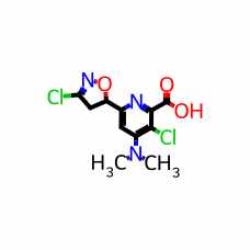 CN(C)c1cc(C2CC(Cl)=NO2)nc(C(=O)O)c1Cl